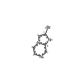 Brc1cn2ccncc2n1